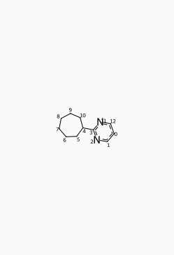 c1cnc(C2CCCCCC2)nc1